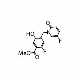 COC(=O)c1cc(O)c(Cn2cc(F)ccc2=O)cc1F